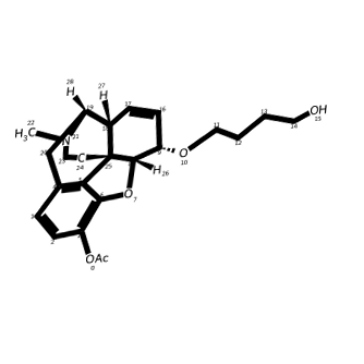 CC(=O)Oc1ccc2c3c1O[C@H]1[C@@H](OCCCCO)C=C[C@H]4[C@@H](C2)N(C)CC[C@@]341